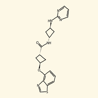 O=C(N[C@H]1C[C@H](Nc2ncccn2)C1)[C@H]1C[C@H](Oc2cccc3scnc23)C1